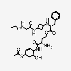 CCONCC(=O)NC1CC(N[C@@H](Cc2ccccc2)C(=O)OCC[C@H](N)C(=O)NC2C=CC(SC(C)=O)CC2O)C1